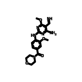 COc1cc(C(=O)N2CCOCC2)ccc1Nc1nc(N)c(C=N)c(OC)n1